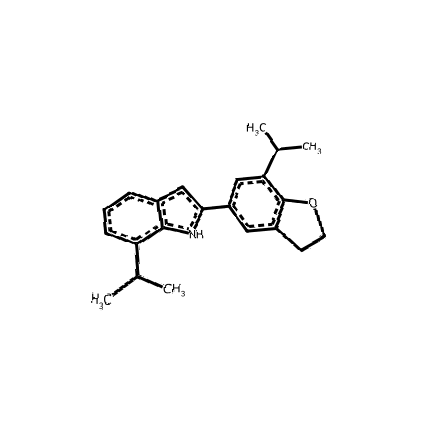 CC(C)c1cc(-c2cc3cccc(C(C)C)c3[nH]2)cc2c1OCC2